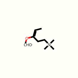 CC=C(CC[Si](C)(C)C)O[C]=O